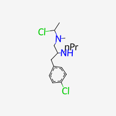 CCCNC(Cc1ccc(Cl)cc1)CN(C)C(C)Cl